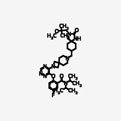 COC(C)(C)CN1CC2(CCC(CN3CCC4(CC3)CN(c3ncnnc3Oc3ccc(F)cc3C(=O)N(C(C)C)C(C)C)C4)CC2)NC1=O